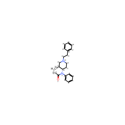 CCC(=O)N(c1ccccc1)[C@H]1CCN(CCc2ccccc2)C[C@@H]1C